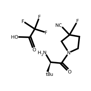 CC(C)(C)[C@@H](N)C(=O)N1CCC(F)(C#N)C1.O=C(O)C(F)(F)F